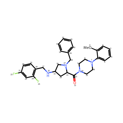 COc1ccccc1N1CCN(C(=O)C2CC(NCc3ccc(F)cc3F)CN2Cc2ccccc2)CC1